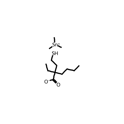 CCCCC(CC)(CCS)C(=O)[O-].[CH3][Sn+]([CH3])[CH3]